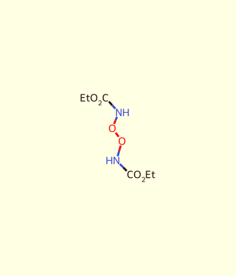 CCOC(=O)NOONC(=O)OCC